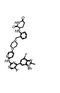 Cc1nc2c(F)cc(-c3nc(Nc4ccc(N5CCN(Cc6ccccc6NC6CCC(=O)NC6=O)CC5)cn4)ncc3F)cc2n1C(C)C